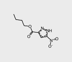 CCCCOC(=O)c1cc([N+](=O)[O-])[nH]n1